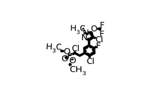 CCOP(=O)(OCC)C(Cl)Cc1cc(-c2nn(C)c(OC(F)F)c2Cl)c(F)cc1Cl